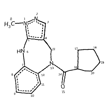 Cn1ncc2c1Nc1ccccc1N(C(=O)C1CCCC1)C2